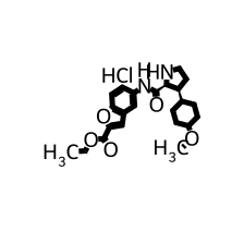 CCOC(=O)c1cc2cc(NC(=O)[C@H]3NCC[C@H]3C3CCC(OC)CC3)ccc2o1.Cl